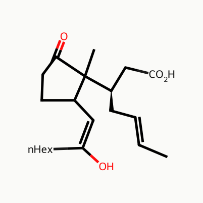 CC=CC[C@H](CC(=O)O)C1(C)C(=O)CCC1/C=C(/O)CCCCCC